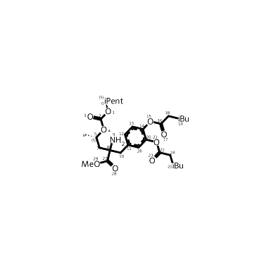 CCC[C@H](C)OC(=O)O[C@@H](C)CC(N)(Cc1ccc(OC(=O)CC(C)CC)c(OC(=O)CC(C)CC)c1)C(=O)OC